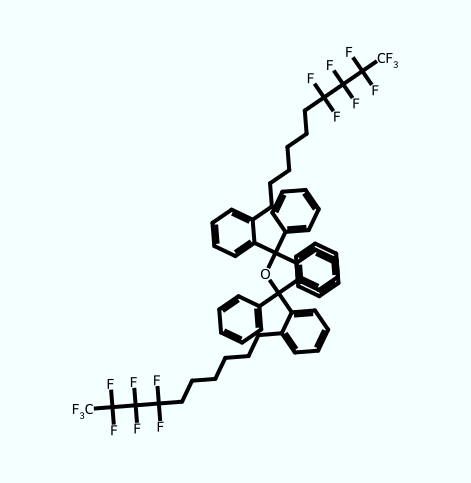 FC(F)(F)C(F)(F)C(F)(F)C(F)(F)CCCCCCc1ccccc1C(OC(c1ccccc1)(c1ccccc1)c1ccccc1CCCCCCC(F)(F)C(F)(F)C(F)(F)C(F)(F)F)(c1ccccc1)c1ccccc1